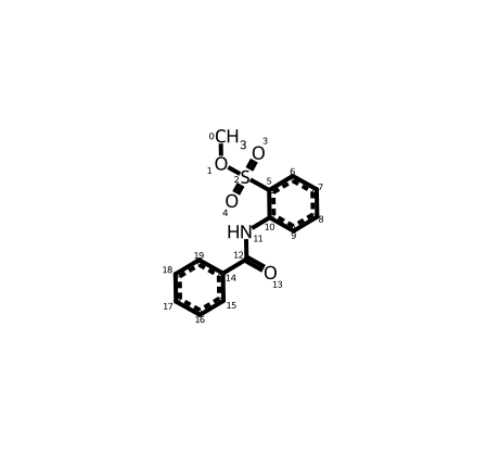 COS(=O)(=O)c1ccccc1NC(=O)c1ccccc1